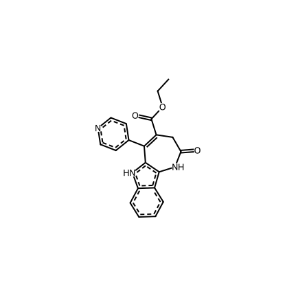 CCOC(=O)C1=C(c2ccncc2)c2[nH]c3ccccc3c2NC(=O)C1